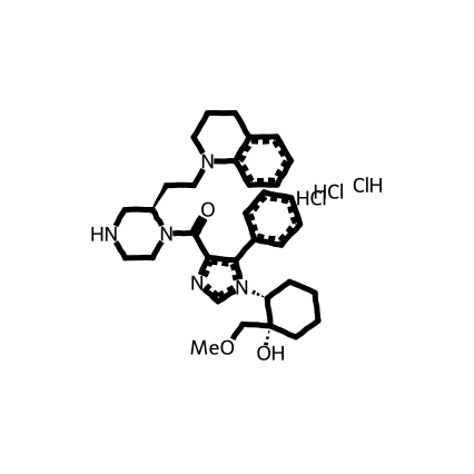 COC[C@]1(O)CCCC[C@H]1n1cnc(C(=O)N2CCNC[C@H]2CCN2CCCc3ccccc32)c1-c1ccccc1.Cl.Cl.Cl